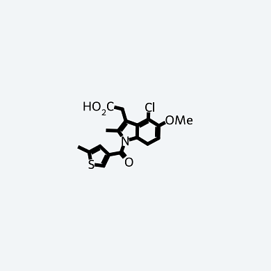 COC1=CCC2C(=C1Cl)C(CC(=O)O)=C(C)N2C(=O)c1csc(C)c1